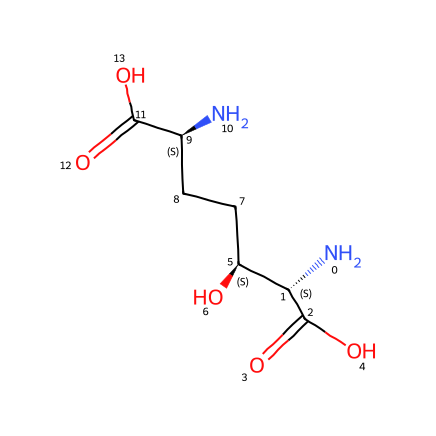 N[C@H](C(=O)O)[C@@H](O)CC[C@H](N)C(=O)O